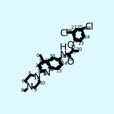 Cc1cc(N2CCN(C)CC2)nc2ccc(NC(=O)C(C)Oc3ccc(Cl)cc3Cl)cc12